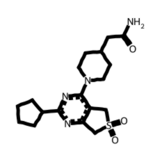 NC(=O)CC1CCN(c2nc(C3CCCC3)nc3c2CS(=O)(=O)C3)CC1